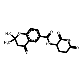 CC1(C)CC(=O)c2cc(C(=O)NC3CCC(=O)NC3=O)ccc2O1